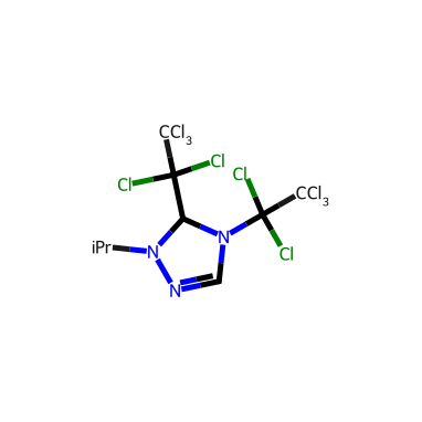 CC(C)N1N=CN(C(Cl)(Cl)C(Cl)(Cl)Cl)C1C(Cl)(Cl)C(Cl)(Cl)Cl